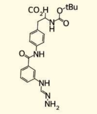 CC(C)(C)OC(=O)NC(Cc1ccc(NC(=O)c2cccc(NC=NN)c2)cc1)C(=O)O